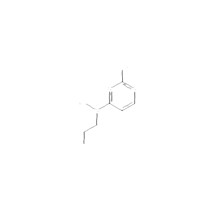 CCCCc1nccc(N(CCC)CCC(C)(C)C)n1